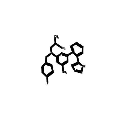 CC(C)CN(Cc1ccc(F)cc1)c1cc(N)cc(-c2ccccc2-c2nnn[nH]2)n1